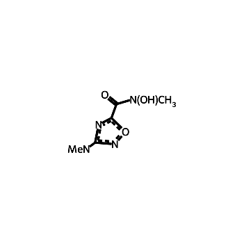 CNc1noc(C(=O)N(C)O)n1